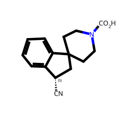 N#C[C@H]1CC2(CCN(C(=O)O)CC2)c2ccccc21